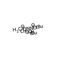 C=C(C)C(=O)OCN(CNC(=O)OC(C)(C)C)C(=O)OC(C)(C)C